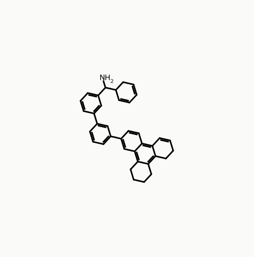 NC(c1cccc(-c2cccc(-c3ccc4c5c(c6c(c4c3)CCCC6)CCC=C5)c2)c1)C1C=CC=CC1